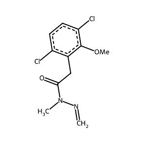 C=NN(C)C(=O)Cc1c(Cl)ccc(Cl)c1OC